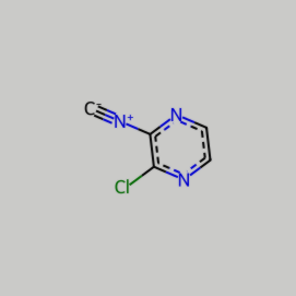 [C-]#[N+]c1nccnc1Cl